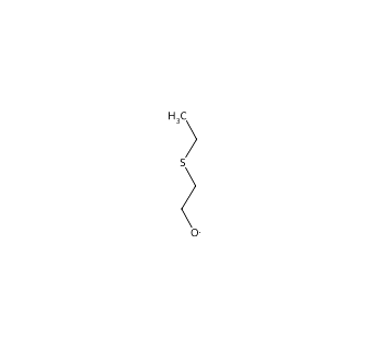 CCSCC[O]